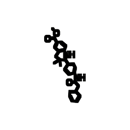 COC(=O)c1ccc2c(c1)CC(C)(C)C(c1ccc(NC(=O)Cc3ccccc3)cc1)N2